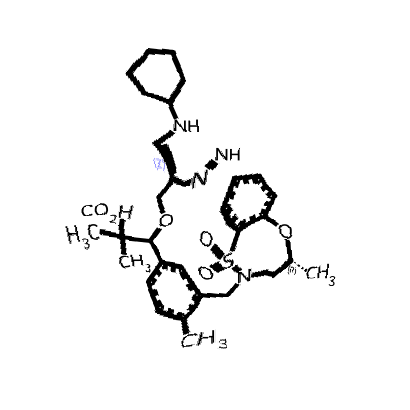 Cc1ccc(C(OC/C(=C/NC2CCCCC2)N=N)C(C)(C)C(=O)O)cc1CN1C[C@@H](C)Oc2ccccc2S1(=O)=O